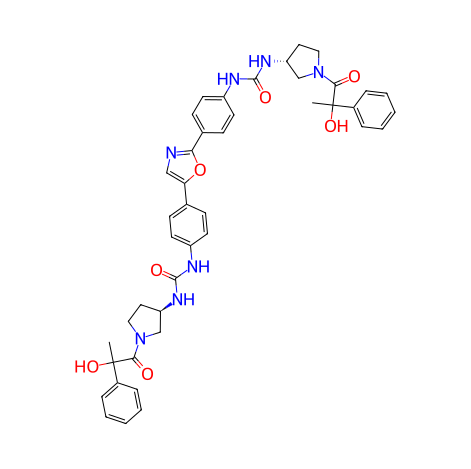 CC(O)(C(=O)N1CC[C@@H](NC(=O)Nc2ccc(-c3cnc(-c4ccc(NC(=O)N[C@@H]5CCN(C(=O)C(C)(O)c6ccccc6)C5)cc4)o3)cc2)C1)c1ccccc1